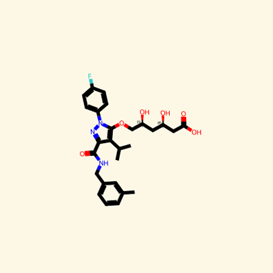 Cc1cccc(CNC(=O)c2nn(-c3ccc(F)cc3)c(OC[C@@H](O)C[C@@H](O)CC(=O)O)c2C(C)C)c1